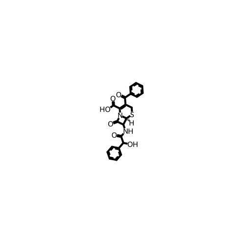 O=C(O)C1=C(C(=O)c2ccccc2)CS[C@H]2C(NC(=O)C(O)c3ccccc3)C(=O)N12